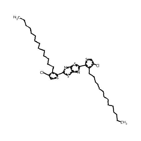 CCCCCCCCCCCCCCc1c(Cl)csc1-c1nc2sc(-c3scc(Cl)c3CCCCCCCCCCCCCC)nc2s1